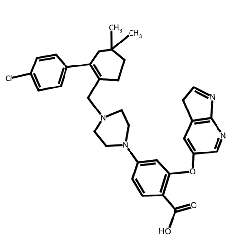 CC1(C)CCC(CN2CCN(c3ccc(C(=O)O)c(Oc4cnc5c(c4)CC=N5)c3)CC2)=C(c2ccc(Cl)cc2)C1